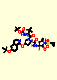 C=CC[C@](C)(NC(=O)[C@@H]1C[C@@H](Oc2nccc3cc(OC(C)(C)C)ccc23)CN1C(=O)[C@@H](NC(=O)OC(C)(C)C)C(C)(C)C)C(=O)NS(=O)(=O)C1CC1